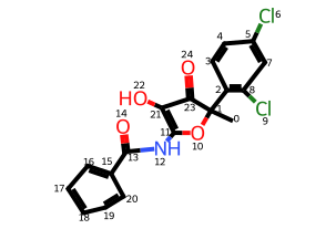 CC1(c2ccc(Cl)cc2Cl)OC(NC(=O)c2ccccc2)=C(O)C1=O